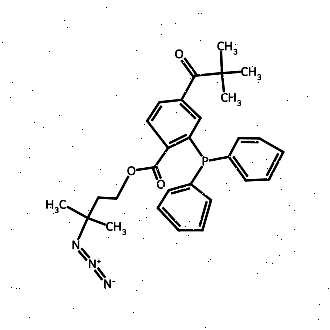 CC(C)(CCOC(=O)c1ccc(C(=O)C(C)(C)C)cc1P(c1ccccc1)c1ccccc1)N=[N+]=[N-]